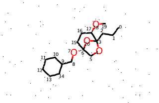 CCCC12OC[C@@](OCC3CCCCC3)(CC[C@H]1OC)O2